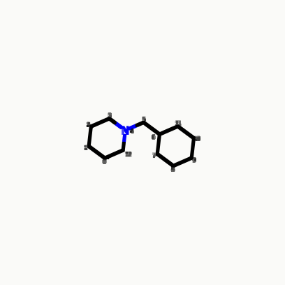 [CH]1CCCN(CC2CCCCC2)C1